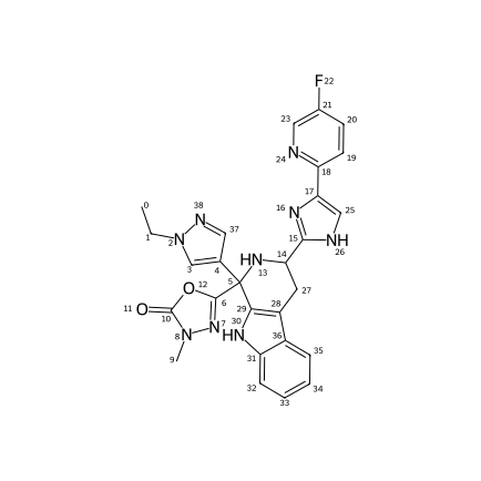 CCn1cc(C2(c3nn(C)c(=O)o3)NC(c3nc(-c4ccc(F)cn4)c[nH]3)Cc3c2[nH]c2ccccc32)cn1